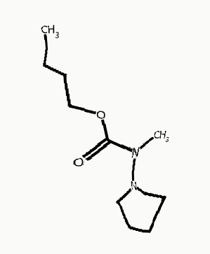 CCCCOC(=O)N(C)N1CCCC1